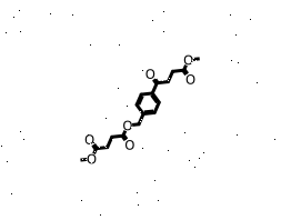 COC(=O)CCC(=O)OCc1ccc(C(=O)CCC(=O)OC)cc1